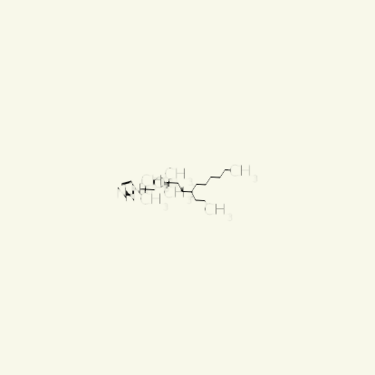 CCCCCCC(CCC)CCC(C)(C)OCC(C)(C)n1ccnn1